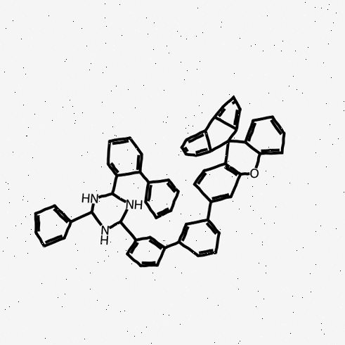 c1ccc(-c2ccccc2C2NC(c3ccccc3)NC(c3cccc(-c4cccc(-c5ccc6c(c5)Oc5ccccc5C65c6ccccc6-c6ccccc65)c4)c3)N2)cc1